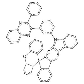 C1=CC2Oc3ccccc3C3(c4ccccc4-c4cc5c6ccccc6n(-c6cccc(-c7nc8ccccc8nc7-c7ccccc7)c6)c5cc43)C2C=C1